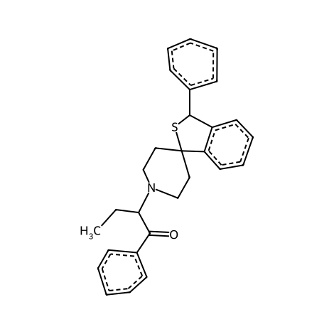 CCC(C(=O)c1ccccc1)N1CCC2(CC1)SC(c1ccccc1)c1ccccc12